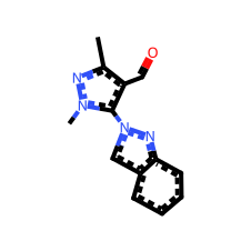 Cc1nn(C)c(-n2cc3ccccc3n2)c1C=O